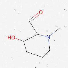 CN1CCCC(O)C1C=O